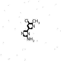 Cc1ncc(-c2cncc(N)n2)cc1Cl